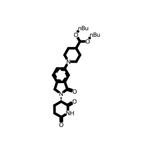 CCCCOC(OCCCC)C1CCN(c2ccc3c(c2)C(=O)N([C@H]2CCC(=O)NC2=O)C3)CC1